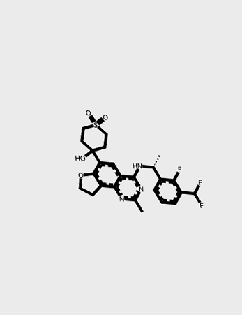 Cc1nc(N[C@H](C)c2cccc(C(F)F)c2F)c2cc(C3(O)CCS(=O)(=O)CC3)c3c(c2n1)CCO3